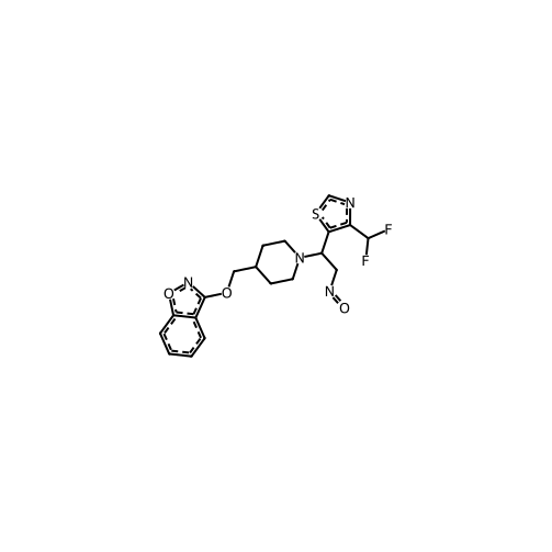 O=NCC(c1scnc1C(F)F)N1CCC(COc2noc3ccccc23)CC1